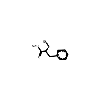 [CH2]COC(Cc1[c]cccc1)C(=O)OC